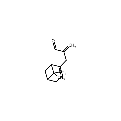 C=C(C=O)CC1=CCC2CC1C2(C)C